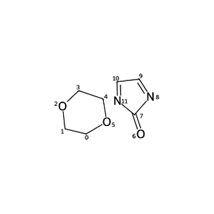 C1COCCO1.O=C1N=CC=N1